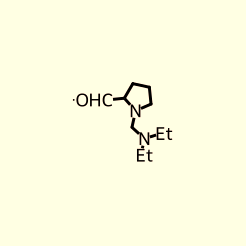 CCN(CC)CN1CCCC1[C]=O